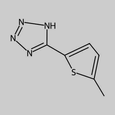 Cc1ccc(-c2nnn[nH]2)s1